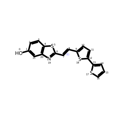 Oc1ccc2sc(/C=C/c3ccc(-c4cccs4)s3)nc2c1